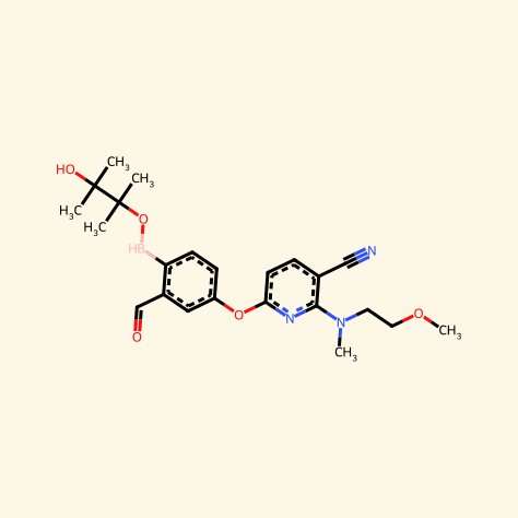 COCCN(C)c1nc(Oc2ccc(BOC(C)(C)C(C)(C)O)c(C=O)c2)ccc1C#N